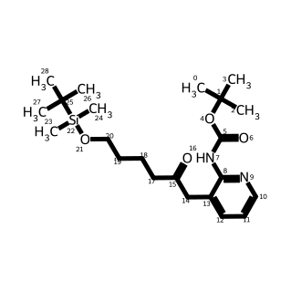 CC(C)(C)OC(=O)Nc1ncccc1CC(=O)CC[CH]CO[Si](C)(C)C(C)(C)C